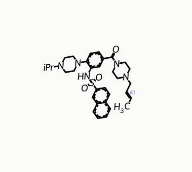 C/C=C/CN1CCN(C(=O)c2ccc(N3CCN(C(C)C)CC3)c(NS(=O)(=O)c3ccc4ccccc4c3)c2)CC1